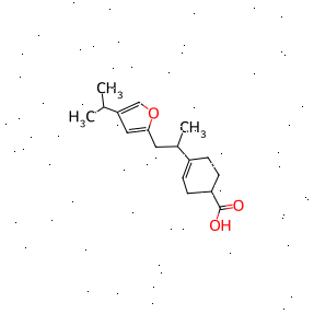 CC(Cc1cc(C(C)C)co1)C1=CCC(C(=O)O)CC1